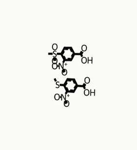 CS(=O)(=O)c1ccc(C(=O)O)cc1[N+](=O)[O-].CSc1ccc(C(=O)O)cc1[N+](=O)[O-]